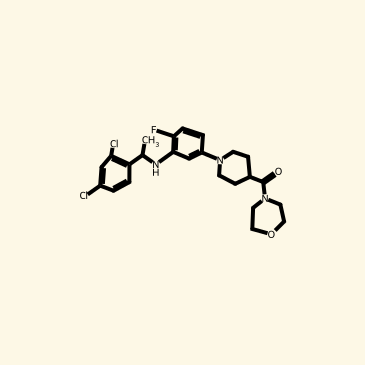 CC(Nc1cc(N2CCC(C(=O)N3CCOCC3)CC2)ccc1F)c1ccc(Cl)cc1Cl